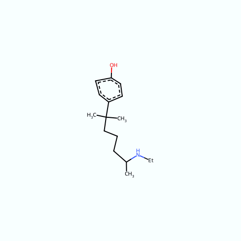 CCNC(C)CCCC(C)(C)c1ccc(O)cc1